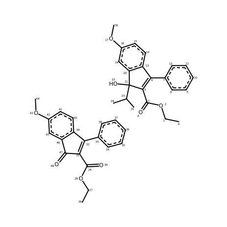 CCOC(=O)C1=C(c2ccccc2)c2ccc(OC)cc2C1(O)C(C)C.CCOC(=O)C1=C(c2ccccc2)c2ccc(OC)cc2C1=O